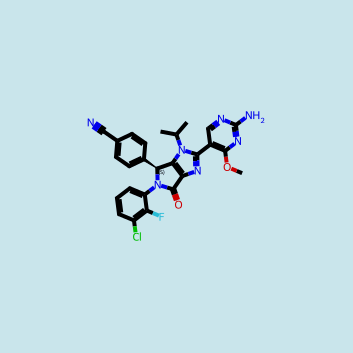 COc1nc(N)ncc1-c1nc2c(n1C(C)C)[C@H](c1ccc(C#N)cc1)N(c1cccc(Cl)c1F)C2=O